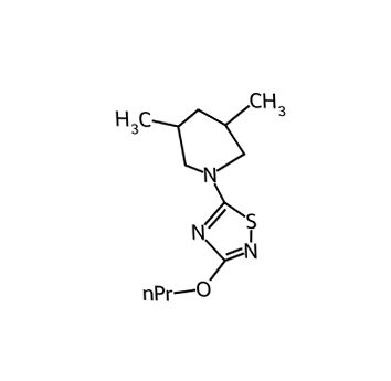 CCCOc1nsc(N2CC(C)CC(C)C2)n1